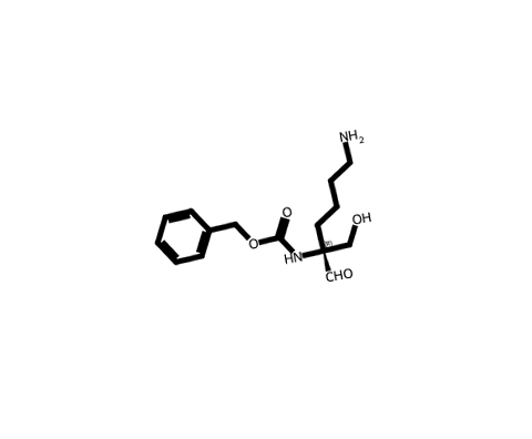 NCCCC[C@](C=O)(CO)NC(=O)OCc1ccccc1